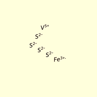 [Fe+3].[S-2].[S-2].[S-2].[S-2].[V+5]